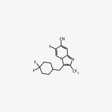 N#Cc1cc2nc(C(F)(F)F)c(CC3CCC(F)(F)CC3)n2cc1I